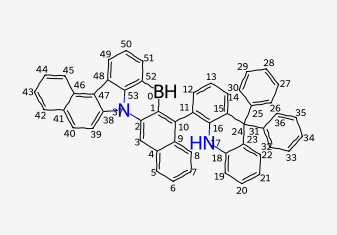 B1c2c(cc3ccccc3c2-c2cccc3c2Nc2ccccc2C3(c2ccccc2)c2ccccc2)-n2c3ccc4ccccc4c3c3cccc1c32